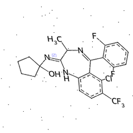 CC1N=C(c2c(F)cccc2F)c2c(ccc(C(F)(F)F)c2Cl)N/C1=N\C1(O)CCCC1